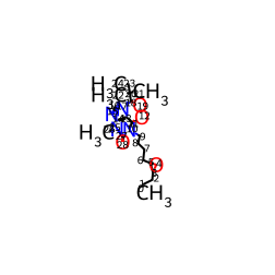 CCCC1OC1CCCCn1c(=O)c2c(ncn2C(=O)C(C)(C)CC)n(C)c1=O